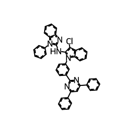 Clc1c(Nc2nc3ccccc3n2-c2ccccc2)n(-c2cccc(-c3nc(-c4ccccc4)cc(-c4ccccc4)n3)c2)c2ccccc12